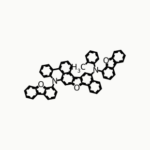 Cc1ccccc1N(c1cc2c(oc3cc4c5c(cccc5c32)-c2ccccc2N4c2cccc3c2oc2ccccc23)c2ccccc12)c1cccc2c1oc1ccccc12